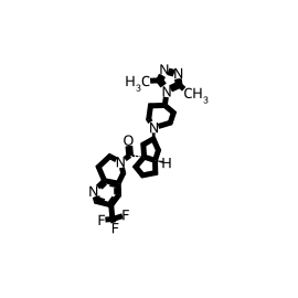 Cc1nnc(C)n1C1CCN([C@H]2C[C@H]3CCC[C@@]3(C(=O)N3CCc4ncc(C(F)(F)F)cc4C3)C2)CC1